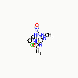 Cc1nc(Cc2nc(C)c(C(=O)Nc3c(C)cccc3Cl)s2)cc(NCCN2CCOCC2)n1